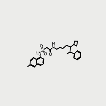 Cc1ccc2c(NS(=O)(=O)CC(=O)NCCCCC(C3CCC3)C(C)c3ccccc3)cccc2c1